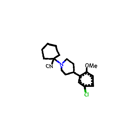 [C-]#[N+]C1(N2CCC(c3cc(Cl)ccc3OC)CC2)CCCCC1